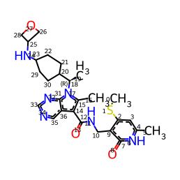 CSc1cc(C)[nH]c(=O)c1CNC(=O)c1c(C)n([C@H](C)C2CCC(NC3COC3)CC2)c2ncncc12